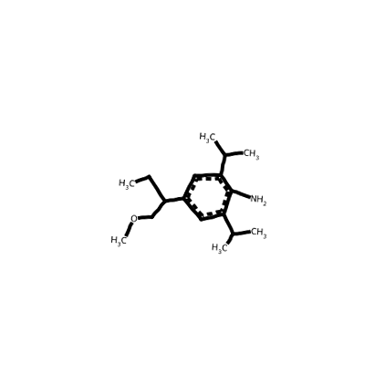 CCC(COC)c1cc(C(C)C)c(N)c(C(C)C)c1